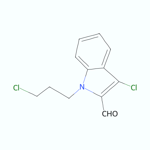 O=Cc1c(Cl)c2ccccc2n1CCCCl